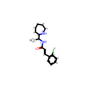 CC(NC(=O)/C=C/c1ccccc1F)C1CCCCCN1